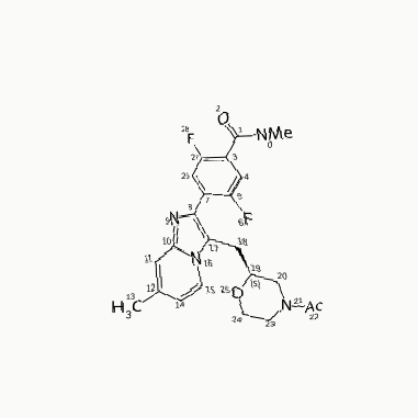 CNC(=O)c1cc(F)c(-c2nc3cc(C)ccn3c2C[C@H]2CN(C(C)=O)CCO2)cc1F